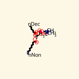 CCCCCCCCC/C=C\CCCCCCC(=O)OC[C@H](COP(=O)(O)OCC[N+](C)(C)C)OC(=O)CCCCCCCCCCCCCCC